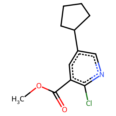 COC(=O)c1cc(C2CCCC2)cnc1Cl